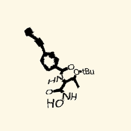 C#CC#Cc1ccc(C(=O)NC(C(=O)NO)C(C)OC(C)(C)C)cc1